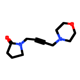 O=C1CCCN1CC#CCN1CCOCC1